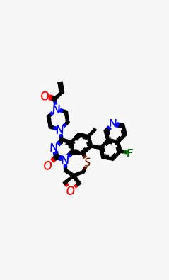 C=CC(=O)N1CCN(c2nc(=O)n3c4c(c(-c5ccc(F)c6ccncc56)c(C)cc24)SCC2(COC2)C3)CC1